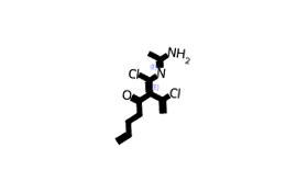 C=CCCC(=O)/C(C(=C)Cl)=C(Cl)/N=C(\C)N